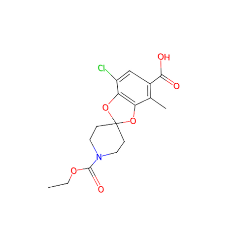 CCOC(=O)N1CCC2(CC1)Oc1c(Cl)cc(C(=O)O)c(C)c1O2